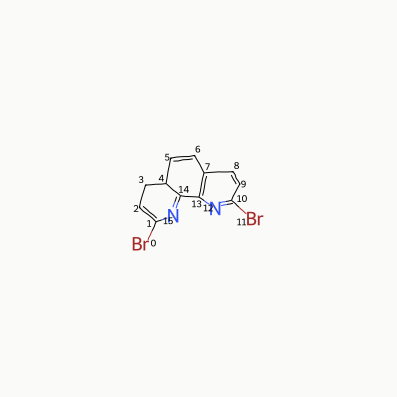 BrC1=CCC2C=Cc3ccc(Br)nc3C2=N1